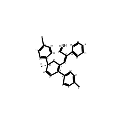 Cc1ccc(C2=C(/C=C(\C=N)c3ccccc3)C[C@](C)(c3ccc(C)cc3)C=C2)cc1